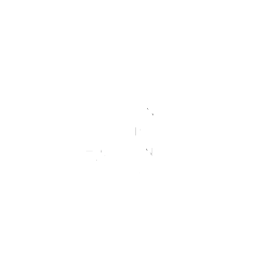 C=CP(N1CCCC1)N1CCCC1